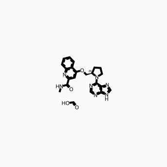 CNC(=O)c1cc(OC[C@H]2CCCN2c2ncnc3[nH]cnc23)c2ccccc2n1.O=CO